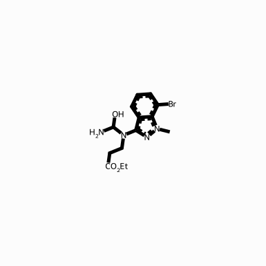 CCOC(=O)CCN(c1nn(C)c2c(Br)cccc12)C(N)O